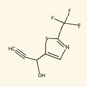 C#CC(O)c1cnc(C(F)(F)F)s1